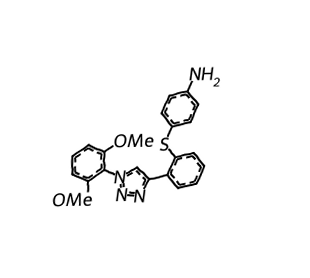 COc1cccc(OC)c1-n1cc(-c2ccccc2Sc2ccc(N)cc2)nn1